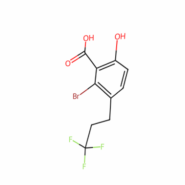 O=C(O)c1c(O)ccc(CCC(F)(F)F)c1Br